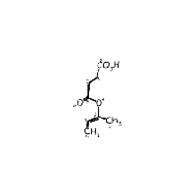 CC=C(C)OC(=O)CCC(=O)O